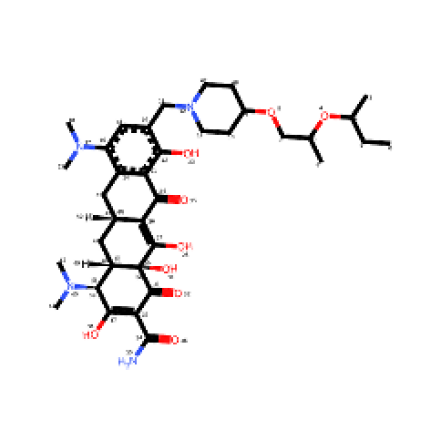 CCC(C)OC(C)COC1CCN(Cc2cc(N(C)C)c3c(c2O)C(=O)C2=C(O)[C@]4(O)C(=O)C(C(N)=O)=C(O)[C@@H](N(C)C)[C@@H]4C[C@@H]2C3)CC1